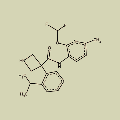 Cc1ccc(NC(=O)C2(c3ccccc3C(C)C)CNC2)c(OC(F)F)n1